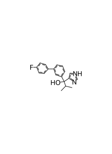 CC(C)C(O)(c1cccc(-c2ccc(F)cc2)c1)c1c[nH]cn1